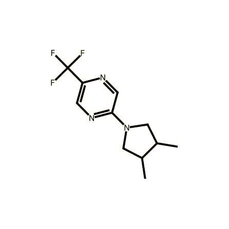 CC1CN(c2cnc(C(F)(F)F)cn2)CC1C